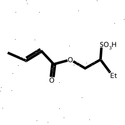 CC=CC(=O)OCC(CC)S(=O)(=O)O